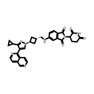 O=C1CCC(N2C(=O)c3ccc(NC[C@H]4C[C@H](n5cc(-c6nccc7cnccc67)c(C6CC6)n5)C4)cc3C2=O)C(=O)N1